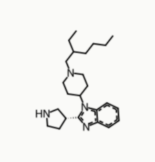 CCCCC(CC)CN1CCC(n2c([C@@H]3CCNC3)nc3ccccc32)CC1